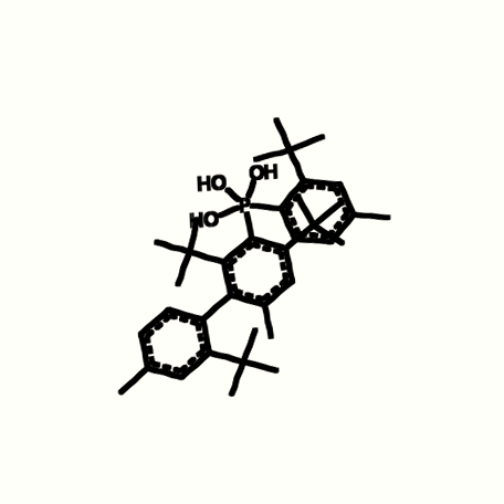 Cc1ccc(-c2c(C)cc(C(C)(C)C)c(P(O)(O)(O)c3ccc(C)cc3C(C)(C)C)c2C(C)(C)C)c(C(C)(C)C)c1